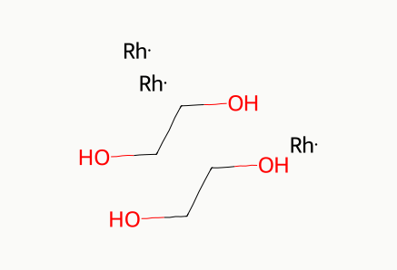 OCCO.OCCO.[Rh].[Rh].[Rh]